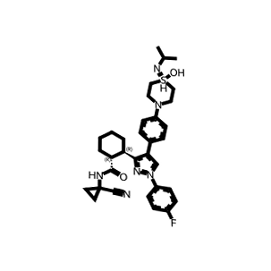 CC(C)N=[SH]1(O)CCN(c2ccc(-c3cn(-c4ccc(F)cc4)nc3[C@@H]3CCCC[C@H]3C(=O)NC3(C#N)CC3)cc2)CC1